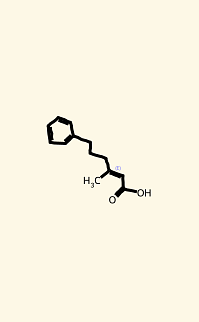 C/C(=C\C(=O)O)CCCc1ccccc1